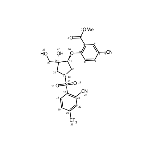 COC(=O)c1cc(C#N)ccc1O[C@H]1CN(S(=O)(=O)c2ccc(C(F)(F)F)cc2C#N)C[C@@]1(O)CO